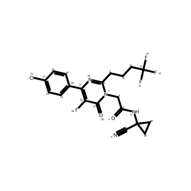 N#CC1(NC(=O)Cn2c(CCCC(F)(F)F)nc(-c3ccc(Cl)cc3)c(F)c2=O)CC1